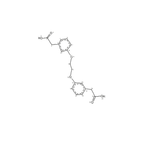 O=C(O)Cc1cccc(OCCOc2cccc(CC(=O)O)c2)c1